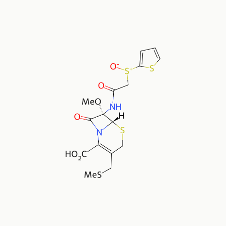 CO[C@@]1(NC(=O)C[S+]([O-])c2cccs2)C(=O)N2C(C(=O)O)=C(CSC)CS[C@H]21